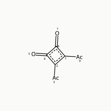 CC(=O)c1c(C(C)=O)c(=O)c1=O